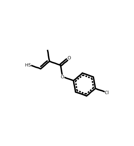 CC(=CS)C(=O)Oc1ccc(Cl)cc1